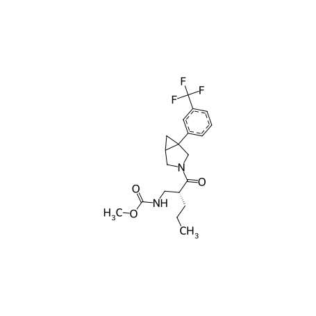 CCC[C@H](CNC(=O)OC)C(=O)N1CC2CC2(c2cccc(C(F)(F)F)c2)C1